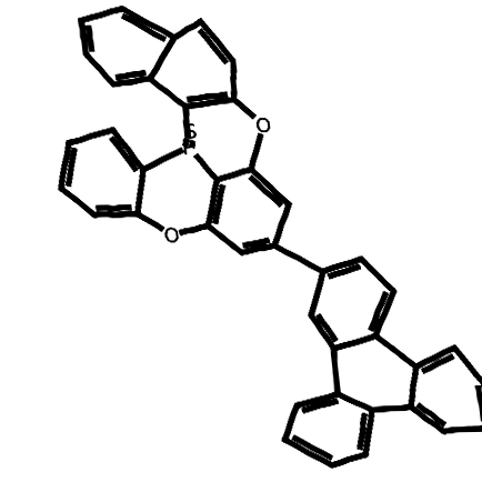 S=P12c3ccccc3Oc3cc(-c4ccc5c6ccccc6c6ccccc6c5c4)cc(c31)Oc1ccc3ccccc3c12